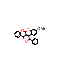 COc1ccc2c(C(=O)c3ccccc3)c(C(=O)c3ccccc3)c(=O)oc2c1